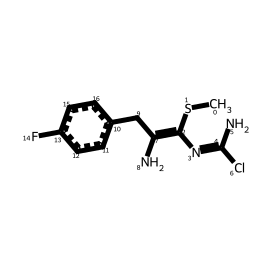 CSC(/N=C(\N)Cl)=C(/N)Cc1ccc(F)cc1